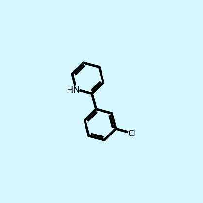 Clc1cccc(C2=CCC=CN2)c1